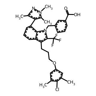 Cc1cc(OCCCc2c(C(F)(F)F)n(Cc3cccc(C(=O)O)c3)c3c(-c4c(C)nn(C)c4C)cccc23)cc(C)c1Cl